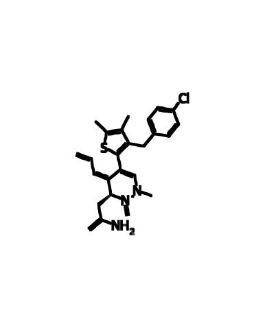 C=C/C=C(\C(=C/N(C)C)c1sc(C)c(C)c1Cc1ccc(Cl)cc1)[C@H](CC(=C)N)N=C